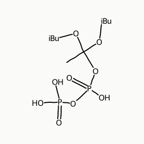 CCC(C)OC(C)(OC(C)CC)OP(=O)(O)OP(=O)(O)O